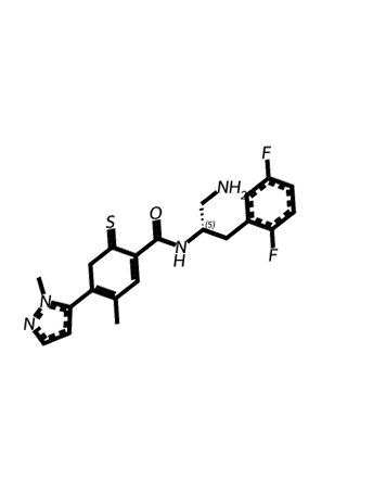 CC1=C(c2ccnn2C)CC(=S)C(C(=O)N[C@H](CN)Cc2cc(F)ccc2F)=C1